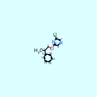 CC(COc1cncc(Cl)n1)c1ccccc1